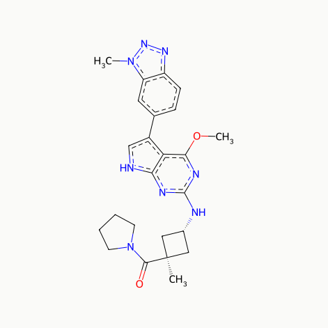 COc1nc(N[C@H]2C[C@](C)(C(=O)N3CCCC3)C2)nc2[nH]cc(-c3ccc4nnn(C)c4c3)c12